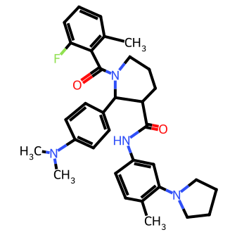 Cc1ccc(NC(=O)C2CCCN(C(=O)c3c(C)cccc3F)C2c2ccc(N(C)C)cc2)cc1N1CCCC1